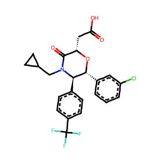 O=C(O)C[C@@H]1O[C@H](c2cccc(Cl)c2)[C@@H](c2ccc(C(F)(F)F)cc2)N(CC2CC2)C1=O